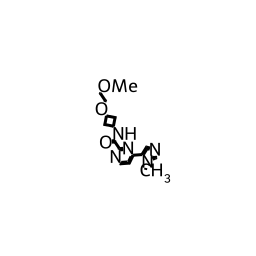 COCCOC1CC(NC(=O)c2nccc(-c3cncn3C)n2)C1